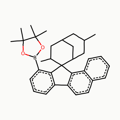 CC1CC2CC(C)C3(c4c(B5OC(C)(C)C(C)(C)O5)cccc4-c4ccc5ccccc5c43)C(C1)C2